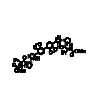 COC(=O)N[C@H](C(=O)N1CCC[C@H]1c1ncc(-c2ccc(-c3ccc(-c4cnc([C@@H]5CCCN5C(=O)[C@@H](NC(=O)OC)C(C)C)[nH]4)c4c3OCO4)c3c2OCO3)[nH]1)C(C)C